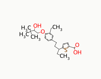 CCc1cc(CCC(CC)c2ccc(C(=O)O)s2)ccc1OCC(O)C(C)(C)C